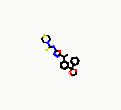 CC(c1cccc(C2(c3ccccc3)OCCO2)c1)c1nnc(/N=C(\S)N2CCSCC2)o1